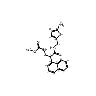 CC(C)(C)OC(=O)NCC(C(=O)NCc1cnc(N)s1)c1cccc2ccccc12